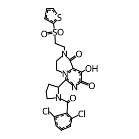 O=C1c2c(O)c(=O)nc(C3CCCN3C(=O)c3c(Cl)cccc3Cl)n2CCN1CCS(=O)(=O)c1cccs1